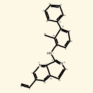 C=Cc1cnc2c(Nc3cccc(-c4ccccc4)c3C)nccc2c1